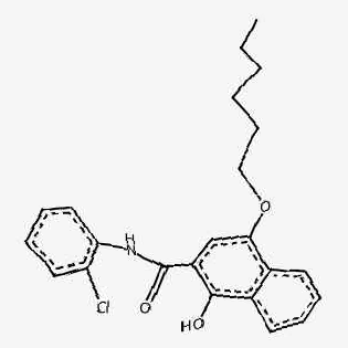 CCCCCCOc1cc(C(=O)Nc2ccccc2Cl)c(O)c2ccccc12